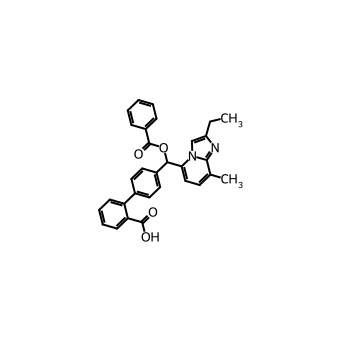 CCc1cn2c(C(OC(=O)c3ccccc3)c3ccc(-c4ccccc4C(=O)O)cc3)ccc(C)c2n1